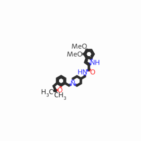 COc1ccc2[nH]c(C(=O)NCC3CCN(Cc4cccc5c4OC(C)(C)C5)CC3)cc2c1OC